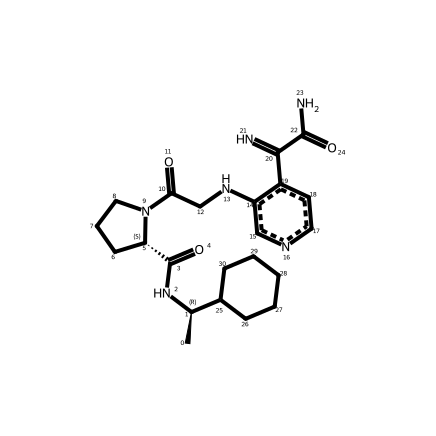 C[C@@H](NC(=O)[C@@H]1CCCN1C(=O)CNc1cnccc1C(=N)C(N)=O)C1CCCCC1